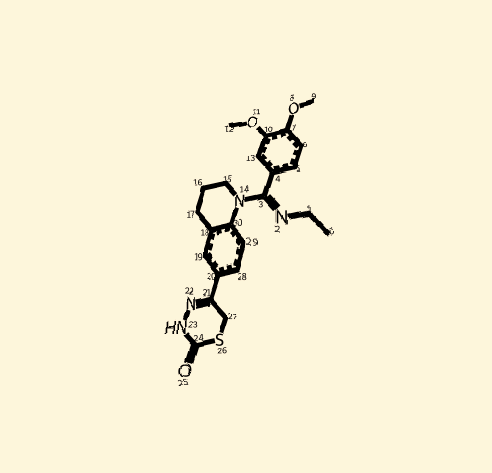 CCN=C(c1ccc(OC)c(OC)c1)N1CCCc2cc(C3=NNC(=O)SC3)ccc21